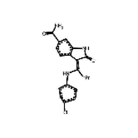 CCCC(Nc1ccc(Cl)cc1)=C1C(=O)Nc2cc(C(N)=O)ccc21